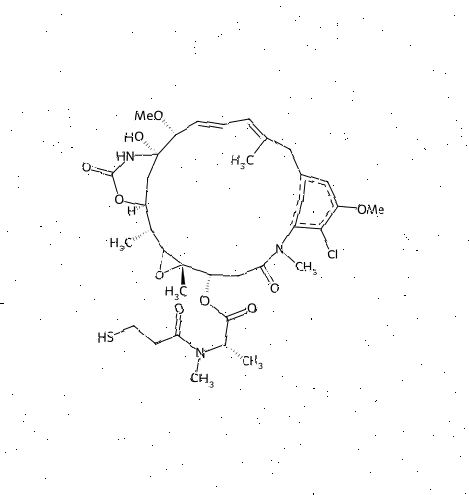 COc1cc2cc(c1Cl)N(C)C(=O)C[C@H](OC(=O)[C@H](C)N(C)C(=O)CCS)[C@]1(C)OC1[C@H](C)[C@@H]1C[C@@](O)(NC(=O)O1)[C@H](OC)/C=C/C=C(\C)C2